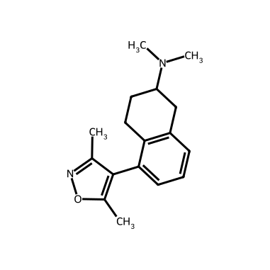 Cc1noc(C)c1-c1cccc2c1CCC(N(C)C)C2